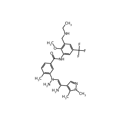 CCNCc1cc(C(F)(F)F)cc(NC(=O)c2ccc(C)c(N(N)/C=C(\N)c3cnn(C)c3C)c2)c1OC